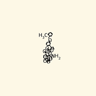 Cc1ccccc1COc1cccc(-c2ccoc2C(=O)OC(=O)c2ccc(O)c([N+](=O)[O-])c2C(=O)NN)c1